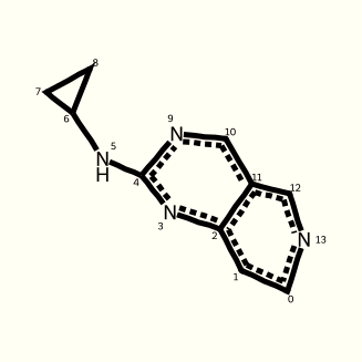 c1cc2nc(NC3CC3)ncc2cn1